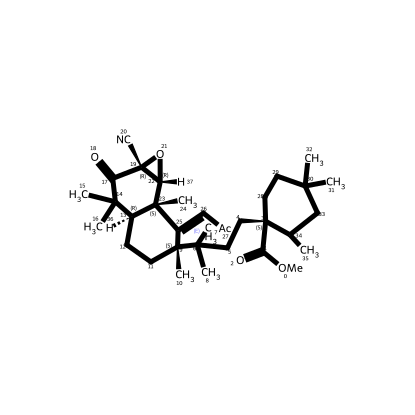 COC(=O)[C@]1(CCC(C)(C)[C@]2(C)CC[C@H]3C(C)(C)C(=O)[C@]4(C#N)O[C@@H]4[C@]3(C)/C2=C/C(C)=O)CCC(C)(C)CC1C